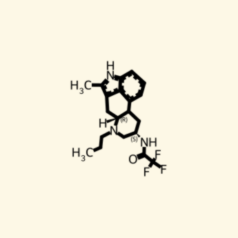 CCCN1C[C@@H](NC(=O)C(F)(F)F)CC2c3cccc4[nH]c(C)c(c34)C[C@H]21